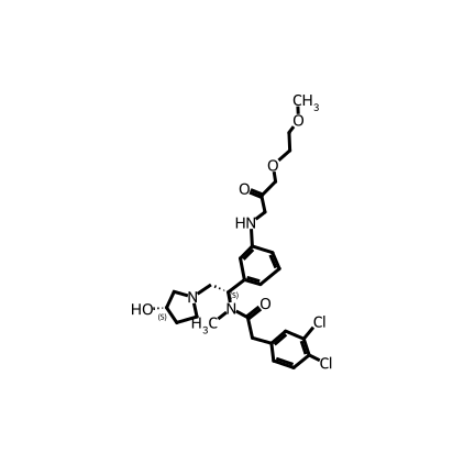 COCCOCC(=O)CNc1cccc([C@@H](CN2CC[C@H](O)C2)N(C)C(=O)Cc2ccc(Cl)c(Cl)c2)c1